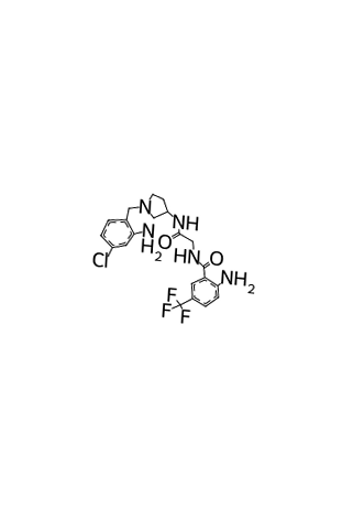 Nc1cc(Cl)ccc1CN1CCC(NC(=O)CNC(=O)c2cc(C(F)(F)F)ccc2N)C1